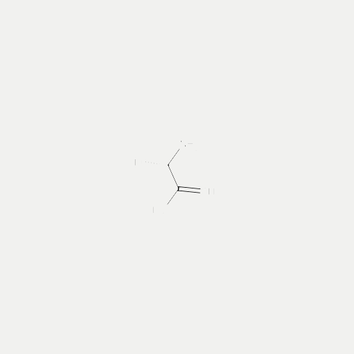 C=C(O)[C@@H](N)CC